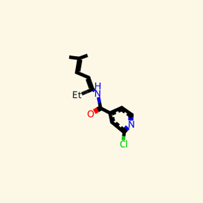 CC/C(=C\C=C(C)C)NC(=O)c1ccnc(Cl)c1